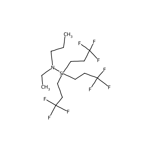 CCCN(CC)[Si](CCC(F)(F)F)(CCC(F)(F)F)CCC(F)(F)F